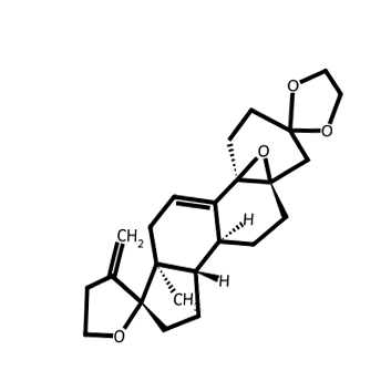 C=C1CCO[C@]12CC[C@H]1[C@@H]3CC[C@@]45CC6(CC[C@@]4(O5)C3=CC[C@@]12C)OCCO6